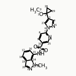 COC1(c2cnn(-c3ccc(S(=O)(=O)Nc4cccc5cnn(C)c45)cn3)c2)CC1